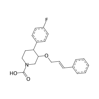 O=C(O)N1CCC(c2ccc(F)cc2)C(OC/C=C/c2ccccc2)C1